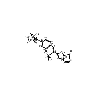 Cc1cccn2cc(-c3cc4ccc(N5CCN6CCC5CC6)cc4oc3=O)nc12